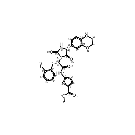 COC(=O)c1csc(NC(=O)[C@H](Cc2ccccc2F)N2C(=O)N[C@H](c3ccc4c(c3)OCCO4)C2=O)n1